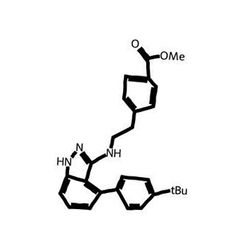 COC(=O)c1ccc(CCNc2n[nH]c3cccc(-c4ccc(C(C)(C)C)cc4)c23)cc1